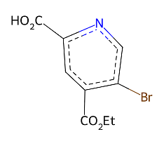 CCOC(=O)c1cc(C(=O)O)ncc1Br